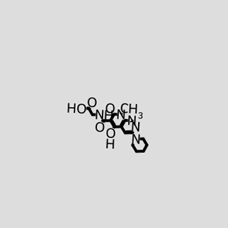 Cn1c(=O)c(C(=O)NCC(=O)O)c(O)c2cc(N3CCCCC3)nnc21